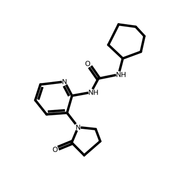 O=C(Nc1ncccc1N1CCCC1=O)NC1CCCCC1